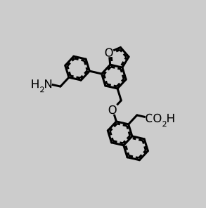 NCc1cccc(-c2cc(COc3ccc4ccccc4c3CC(=O)O)cc3ccoc23)c1